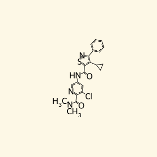 CN(C)C(=O)c1ncc(NC(=O)c2snc(-c3ccccc3)c2C2CC2)cc1Cl